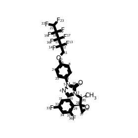 C[C@@H](n1cnn(-c2ccc(OCC(F)(F)C(F)(F)C(F)(F)C(F)F)cc2)c1=O)[C@@]1(c2ccc(F)cc2F)CO1